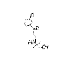 CC(C)(CO)NCCC(=O)c1cccc(Cl)c1